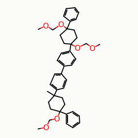 COCOC1(c2ccccc2)CCC(C)(c2ccc(-c3ccc(C4(OCOC)CCC(OCOC)(c5ccccc5)CC4)cc3)cc2)CC1